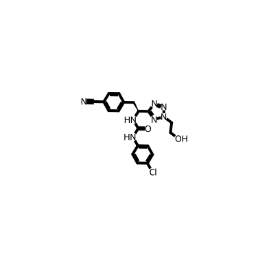 N#Cc1ccc(C[C@H](NC(=O)Nc2ccc(Cl)cc2)c2nnn(CCO)n2)cc1